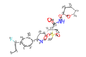 CC=C(F)c1ccc(C2=NO[C@@H](C[C@](C)(C(=O)NOC3CCCCO3)S(C)(=O)=O)C2)cc1